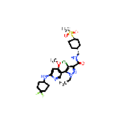 CCn1nc(C(=O)NC[C@H]2CC[C@H](S(C)(=O)=O)CC2)c(Cl)c1-c1cnc(NC2CCC(F)(F)CC2)cc1OC